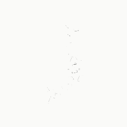 C=CCN(CC=C)CCCCCc1ccc2c(c1)Cc1cc(CCCCCN(CC=C)CC=C)ccc1S2